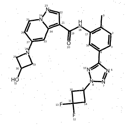 Cc1ccc(-c2nnn(C3CC(F)(F)C3)n2)cc1NC(=O)c1cnn2ccc(N3CC(O)C3)cc12